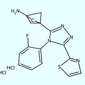 Cl.Cl.NC12CC(c3nnc(-c4nccs4)n3-c3ccccc3F)(C1)C2